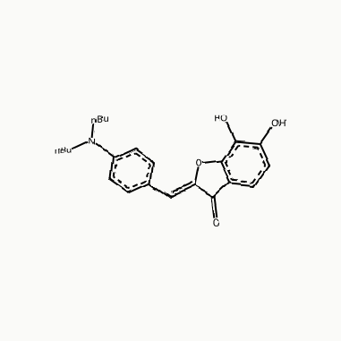 CCCCN(CCCC)c1ccc(C=C2Oc3c(ccc(O)c3O)C2=O)cc1